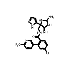 N=C1NC(N)NC1(CNC(=O)c1ccc(Cl)cc1-c1ccc(C(F)(F)F)nc1)c1ccn[nH]1